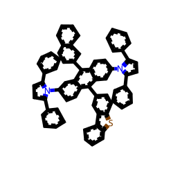 c1ccc(-c2ccc(-c3ccccc3)n2-c2ccc3c(-c4ccc5sc6ccccc6c5c4)c4cc(-n5c(-c6ccccc6)ccc5-c5ccccc5)ccc4c(-c4ccc5ccccc5c4)c3c2)cc1